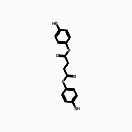 O=C(CCC(=O)Oc1ccc(O)cc1)Oc1ccc(O)cc1